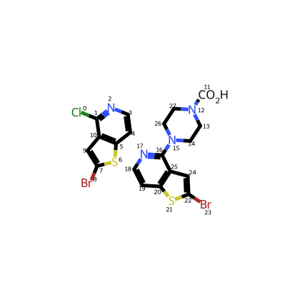 Clc1nccc2sc(Br)cc12.O=C(O)N1CCN(c2nccc3sc(Br)cc23)CC1